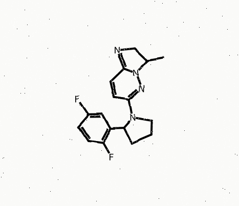 CC1CN=C2C=CC(N3CCCC3c3cc(F)ccc3F)=NN21